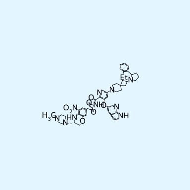 CCc1ccccc1C1CCCN1C1CC2(CCN(c3cnc(C(=O)NS(=O)(=O)c4cc5c(c([N+](=O)[O-])c4)N[C@@H](CN4CCN(C)CC4)CO5)c(Oc4cnc5[nH]ccc5c4)c3)CC2)C1